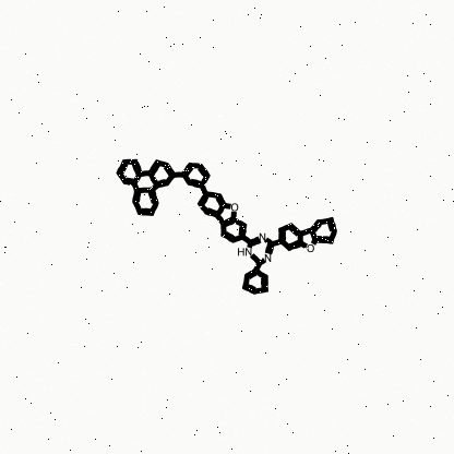 c1ccc(C2N=C(c3ccc4c(c3)oc3ccccc34)N=C(c3ccc4c(c3)oc3cc(-c5cccc(-c6ccc7c8ccccc8c8ccccc8c7c6)c5)ccc34)N2)cc1